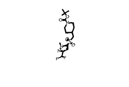 Cn1nc(C(F)F)cc1S(=O)(=O)CC1CCN(C(=O)OC(C)(C)C)CC1